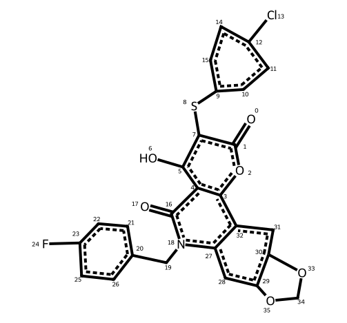 O=c1oc2c(c(O)c1Sc1ccc(Cl)cc1)c(=O)n(Cc1ccc(F)cc1)c1cc3c(cc21)OCO3